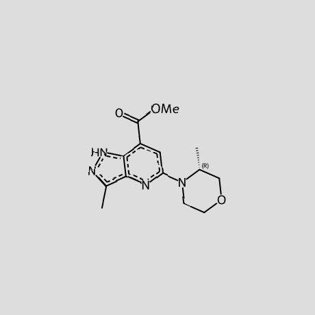 COC(=O)c1cc(N2CCOC[C@H]2C)nc2c(C)n[nH]c12